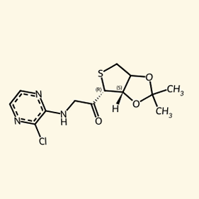 CC1(C)OC2CS[C@@H](C(=O)CNc3nccnc3Cl)[C@H]2O1